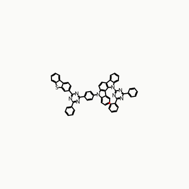 c1ccc(-c2nc(-c3ccc(-n4c5ccccc5c5c4ccc4c6ccccc6n(-c6nc(-c7ccccc7)nc(-c7ccccc7)n6)c45)cc3)nc(-c3ccc4c(c3)sc3ccccc34)n2)cc1